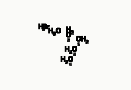 Br.O.O.O.O.O